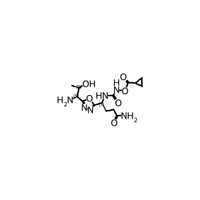 C[C@@H](O)[C@H](N)c1nnc([C@H](CCC(N)=O)NC(=O)NOC(=O)C2CC2)o1